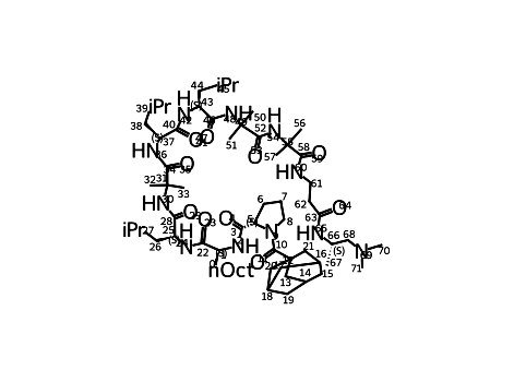 CCCCCCCC[C@H](NC(=O)[C@@H]1CCCN1C(=O)C12CC3CC(CC(C3)C1)C2)C(=O)N[C@@H](CC(C)C)C(=O)NC(C)(C)C(=O)N[C@@H](CC(C)C)C(=O)N[C@@H](CC(C)C)C(=O)NC(C)(C)C(=O)NC(C)(C)C(=O)NCCC(=O)N[C@@H](C)CN(C)C